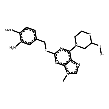 CCOC1CN(c2nc(SCc3ccc(OC)c(N)c3)nc3c2ncn3C)CCO1